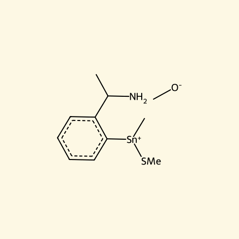 C[O-].C[S][Sn+]([CH3])[c]1ccccc1C(C)N